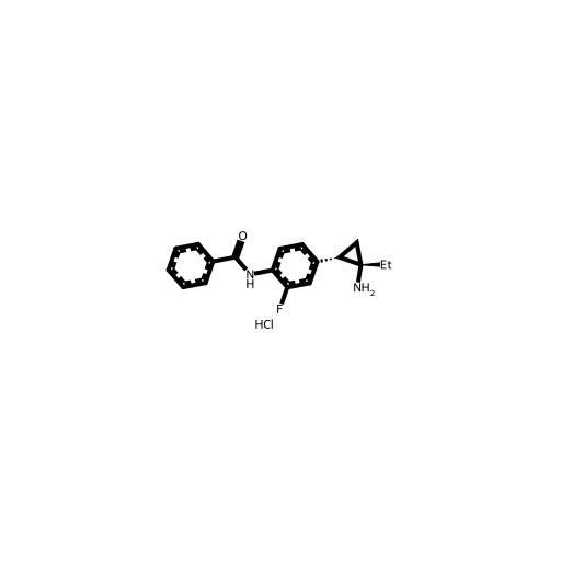 CC[C@]1(N)C[C@H]1c1ccc(NC(=O)c2ccccc2)c(F)c1.Cl